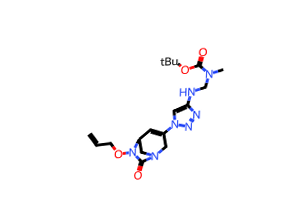 C=CCON1C(=O)N2CC(n3cc(NCN(C)C(=O)OC(C)(C)C)nn3)=CC1C2